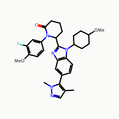 COc1ccc(N2C(=O)CCCC2c2nc3cc(-c4c(C)cnn4C)ccc3n2C2CCC(OC)CC2)cc1F